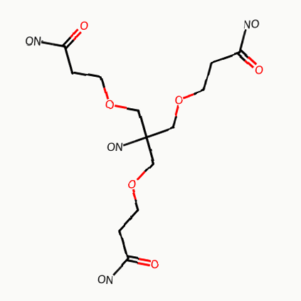 O=NC(=O)CCOCC(COCCC(=O)N=O)(COCCC(=O)N=O)N=O